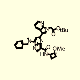 CO[C@H]1CCC1NC(=O)c1cnn2c(N(C)Cc3ccccc3)cc(-c3cn(CC(=O)OC(C)(C)C)c4ncccc34)nc12